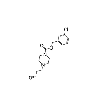 O=CCCN1CCN(C(=O)OCc2cccc(Cl)c2)CC1